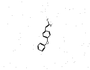 FC(F)=Cc1ccc(Oc2ccccc2)cc1